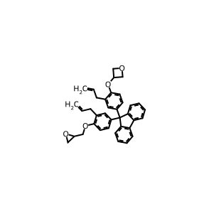 C=CCc1cc(C2(c3ccc(OC4COC4)c(CC=C)c3)c3ccccc3-c3ccccc32)ccc1OCC1CO1